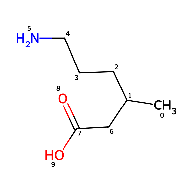 CC(CCCN)CC(=O)O